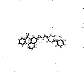 O=C1c2ccccc2-c2nccc3cc(OCCN4CCN(c5ccccc5F)CC4)cc1c23